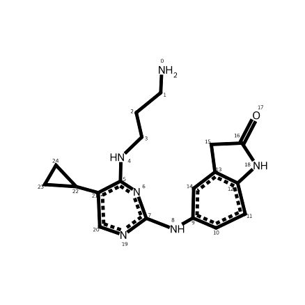 NCCCNc1nc(Nc2ccc3c(c2)CC(=O)N3)ncc1C1CC1